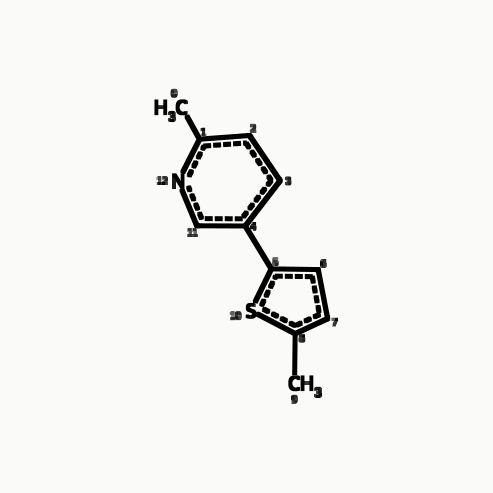 Cc1ccc(-c2ccc(C)s2)cn1